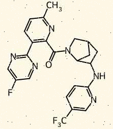 Cc1ccc(-c2ncc(F)cn2)c(C(=O)N2CC3CC(Nc4ccc(C(F)(F)F)cn4)C2C3)n1